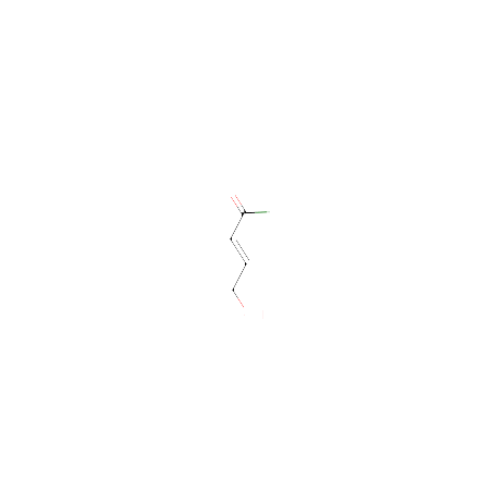 O=C(Cl)C=CCO